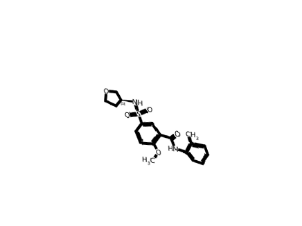 COc1ccc(S(=O)(=O)N[C@H]2CCOC2)cc1C(=O)Nc1ccccc1C